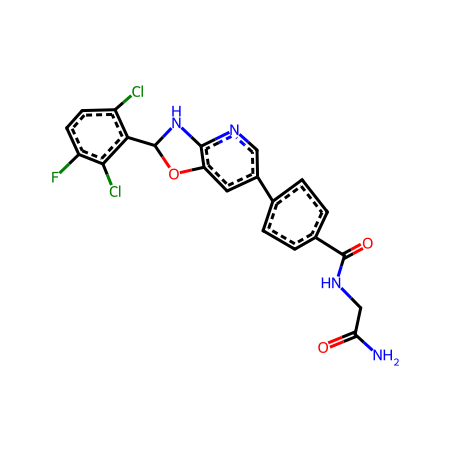 NC(=O)CNC(=O)c1ccc(-c2cnc3c(c2)OC(c2c(Cl)ccc(F)c2Cl)N3)cc1